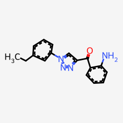 CCc1cccc(-n2cc(C(=O)c3ccccc3N)nn2)c1